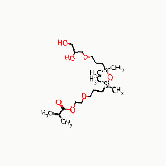 C=C(C)C(=O)OCCOCCC[Si](C)(C)O[Si](C)(C)CCCOCC(O)CO